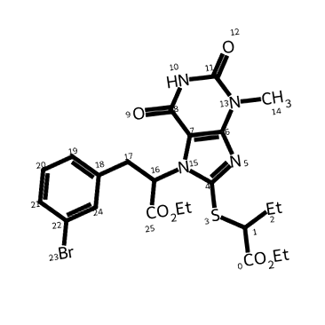 CCOC(=O)C(CC)Sc1nc2c(c(=O)[nH]c(=O)n2C)n1C(Cc1cccc(Br)c1)C(=O)OCC